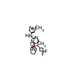 CC(C(=O)N1C2C=C(c3ccnc(Nc4cnn(C)c4)n3)CC1CC2)C1CC(F)(F)C1